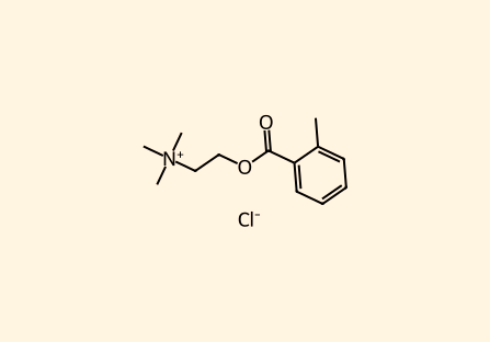 Cc1ccccc1C(=O)OCC[N+](C)(C)C.[Cl-]